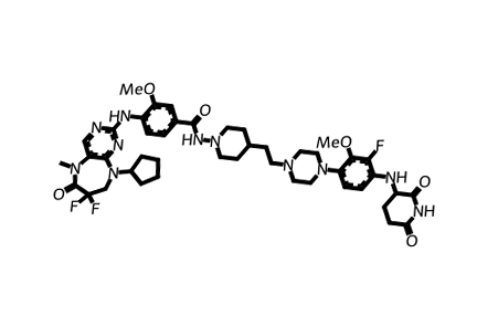 COc1cc(C(=O)NN2CCC(CCN3CCN(c4ccc(NC5CCC(=O)NC5=O)c(F)c4OC)CC3)CC2)ccc1Nc1ncc2c(n1)N(C1CCCC1)CC(F)(F)C(=O)N2C